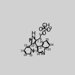 CS(=O)(=O)OCCc1[nH]nc(-c2ccccn2)c1-c1ccnc2ccccc12